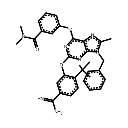 Cc1nc2c(Oc3cccc(C(=O)N(C)C)c3)nc(Oc3cc(C(=N)N)ccc3C(C)(C)C)nc2n1Cc1ccccc1